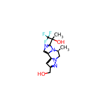 C[C@H]1Cn2nc(CO)cc2-c2cnc(C(C)(O)C(F)(F)F)n21